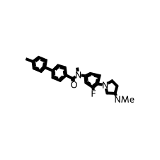 CNC1CCN(c2ccc(N(C)C(=O)c3ccc(-c4ccc(C)cc4)cc3)cc2F)C1